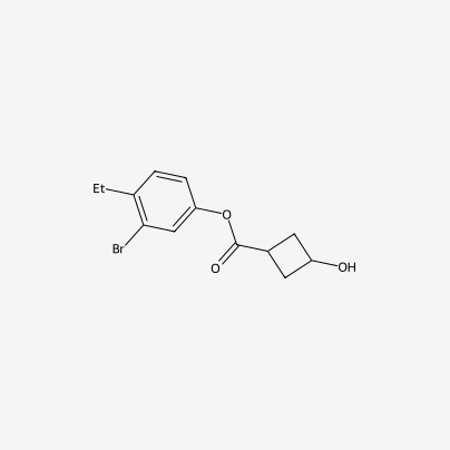 CCc1ccc(OC(=O)C2CC(O)C2)cc1Br